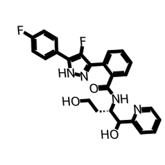 O=C(N[C@@H](CCO)C(O)c1ccccn1)c1ccccc1-c1n[nH]c(-c2ccc(F)cc2)c1F